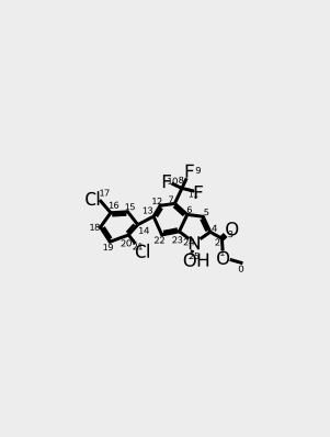 COC(=O)c1cc2c(C(F)(F)F)cc(-c3cc(Cl)ccc3Cl)cc2n1O